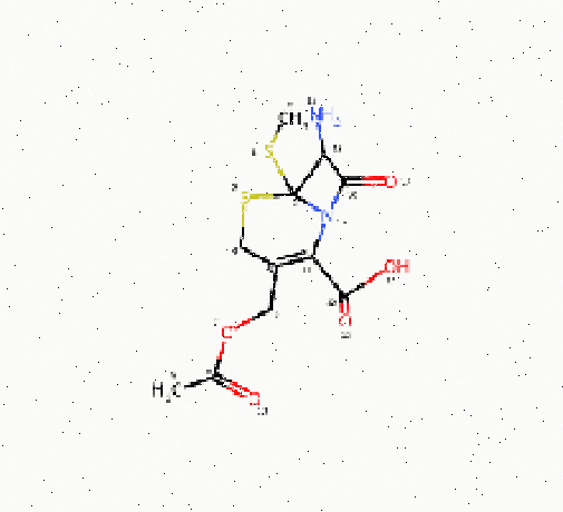 CSC12SCC(COC(C)=O)=C(C(=O)O)N1C(=O)C2N